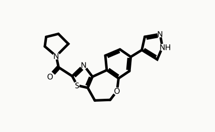 O=C(c1nc2c(s1)CCOc1cc(-c3cn[nH]c3)ccc1-2)N1CCCC1